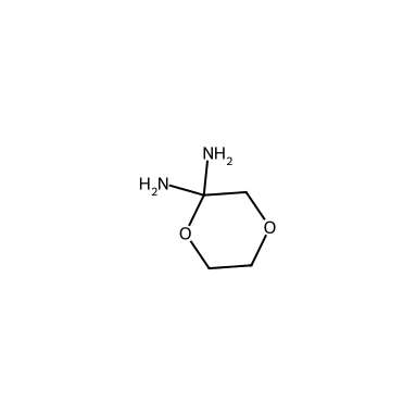 NC1(N)COCCO1